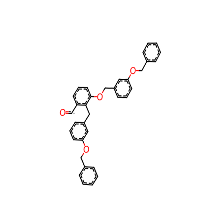 O=[C]c1cccc(OCc2cccc(OCc3ccccc3)c2)c1Cc1cccc(OCc2ccccc2)c1